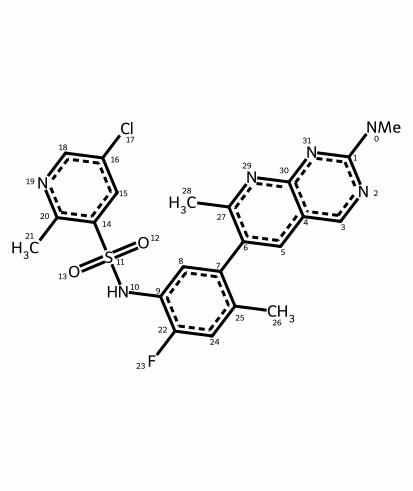 CNc1ncc2cc(-c3cc(NS(=O)(=O)c4cc(Cl)cnc4C)c(F)cc3C)c(C)nc2n1